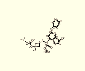 CC(C)(C)OC(=O)O[C@]1(C)C[C@H](CN(C(=O)OC(C)(C)C)c2cc(Oc3cccnc3)nc3c(Br)cnn23)C1